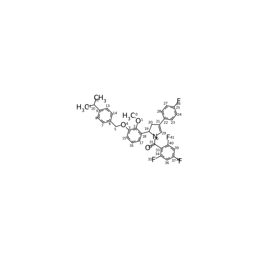 COc1c(OCc2ccc(C(C)C)cc2)cccc1C1CC(c2ccc(F)cc2)=CN1C(=O)c1c(F)cc(F)cc1F